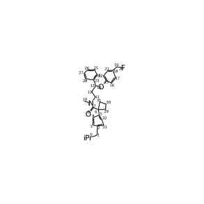 CC(C)Cc1ccc(C2(C(=O)N(C)CCC(Oc3ccc(CF)cc3)c3ccccc3)CCC2)cc1